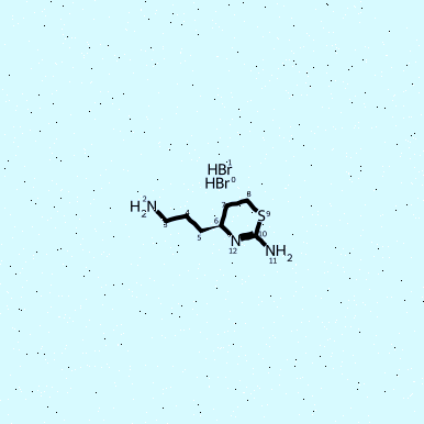 Br.Br.NCCC[C@H]1CCSC(N)=N1